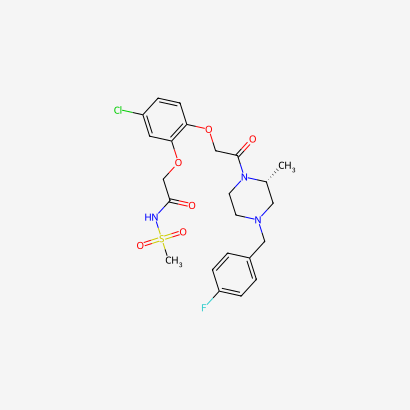 C[C@@H]1CN(Cc2ccc(F)cc2)CCN1C(=O)COc1ccc(Cl)cc1OCC(=O)NS(C)(=O)=O